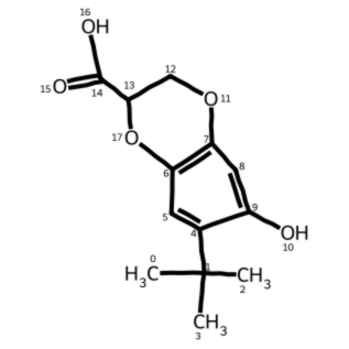 CC(C)(C)c1cc2c(cc1O)OCC(C(=O)O)O2